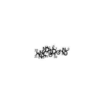 Cc1nc(COc2cc(C)n(-c3ccnc(-c4nc(C(C)C)ncc4C)c3)c(=O)c2C)co1